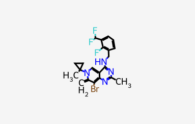 C=C1C(Br)=c2nc(C)nc(NCc3cccc(C(F)F)c3F)c2=CN1C1(C)CC1